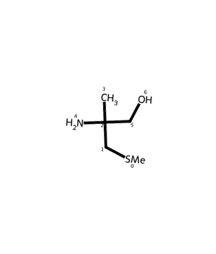 CSCC(C)(N)CO